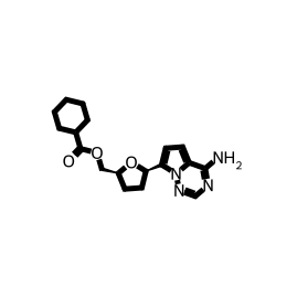 Nc1ncnn2c([C@H]3CC[C@@H](COC(=O)C4CCCCC4)O3)ccc12